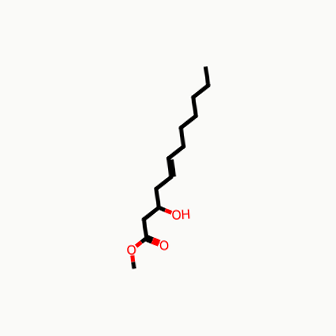 CCCCCCC=CCC(O)CC(=O)OC